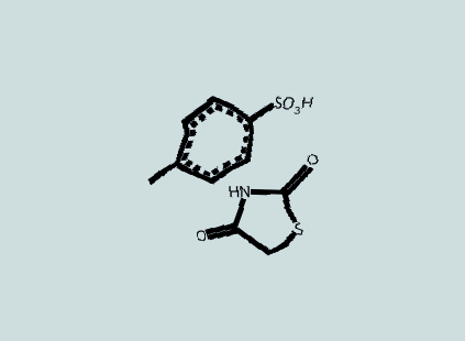 Cc1ccc(S(=O)(=O)O)cc1.O=C1CSC(=O)N1